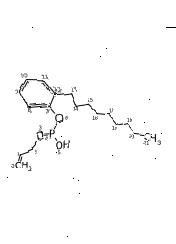 C=CCOP(O)Oc1ccccc1CCCCCCCCC